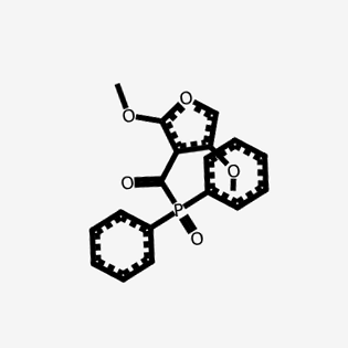 COc1coc(OC)c1C(=O)P(=O)(c1ccccc1)c1ccccc1